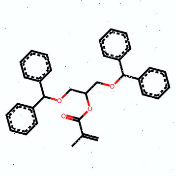 C=C(C)C(=O)OC(COC(c1ccccc1)c1ccccc1)COC(c1ccccc1)c1ccccc1